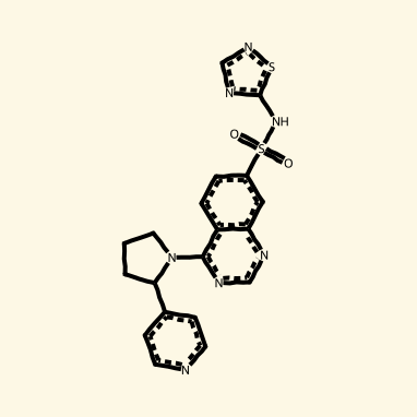 O=S(=O)(Nc1ncns1)c1ccc2c(N3CCCC3c3ccncc3)ncnc2c1